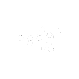 CC12C=CC=CC1=CC(c1nc(-c3ccccc3)nc(-c3cccc4oc5c(-c6ccc(-c7ccccc7)c7ccccc67)cccc5c34)n1)=CC2